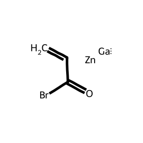 C=CC(=O)Br.[Ga].[Zn]